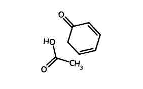 CC(=O)O.O=C1C=CC=CC1